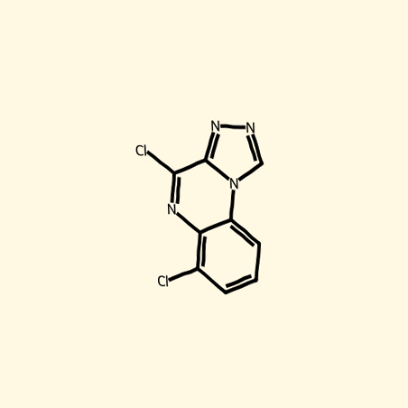 Clc1cccc2c1nc(Cl)c1nncn12